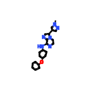 Cn1cc(-c2cnc3c(Nc4ccc(Oc5ccccc5)cc4)nccn23)cn1